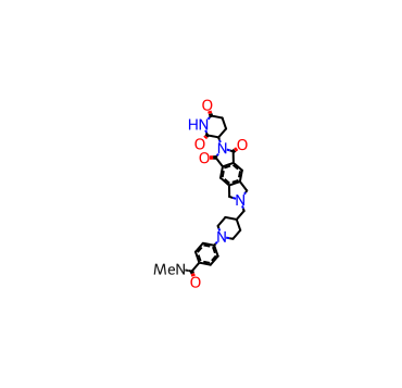 CNC(=O)c1ccc(N2CCC(CN3Cc4cc5c(cc4C3)C(=O)N(C3CCC(=O)NC3=O)C5=O)CC2)cc1